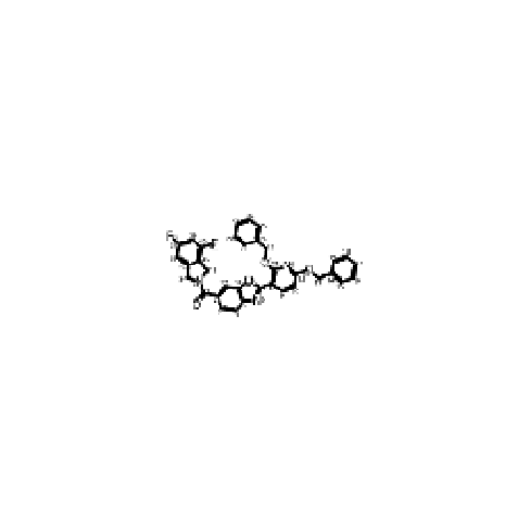 O=C(c1ccc2nc(-c3ccc(OCc4ccccc4)nc3OCc3ccccc3)oc2c1)N1Cc2cc(F)cc(F)c2C1